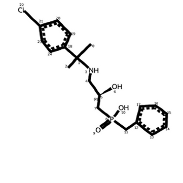 CC(C)(NC[C@@H](O)CP(=O)(O)Cc1ccccc1)c1ccc(Cl)cc1